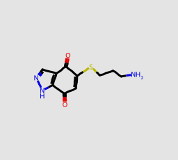 NCCCSC1=CC(=O)c2[nH]ncc2C1=O